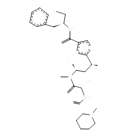 CCC(C)[C@H](NC(=O)[C@H]1CCCCN1C)C(=O)N(C)[C@H](C[C@H](OC(C)=O)c1nc(C(=O)N[C@@H](Cc2ccccc2)CC(C)C)cs1)C(C)C